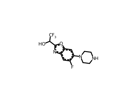 OC(c1nc2cc(F)c(N3CCNCC3)cc2o1)C(F)(F)F